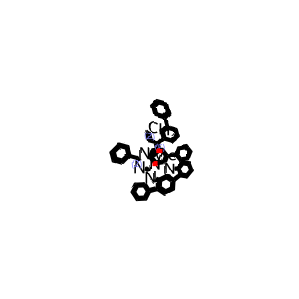 C/C=C\C(=C/CN=C(/N=C(\NC)c1ccccc1)n1c2ccccc2c2ccc3c4ccccc4n(-c4ccccc4-c4ccccc4)c3c21)c1cccc(-c2ccccc2)c1